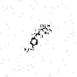 CC(C)C[C@@](NC(=O)Nc1ccc(SC(F)(F)F)cc1)(C(=O)O)C(C)(C)C